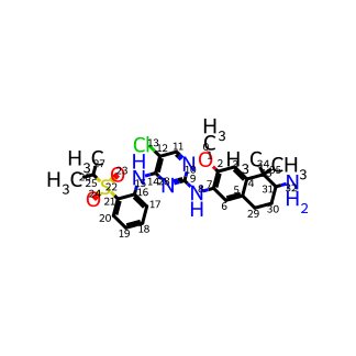 COc1cc2c(cc1Nc1ncc(Cl)c(Nc3ccccc3S(=O)(=O)C(C)C)n1)CCC(N)C2(C)C